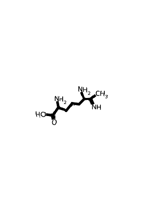 CC(=N)C(N)CCCC(N)C(=O)O